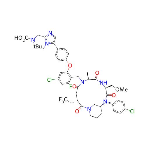 COC[C@@H]1NC(=O)[C@H](C)N(Cc2c(F)cc(Cl)cc2Oc2ccc(-c3cnc(CN(C(=O)O)C(C)(C)C)n3C)cc2)C(=O)C[C@@H](CC(F)(F)F)C(=O)N2CCC[C@@](Cc3ccc(Cl)cc3)(C2)N(C)C1=O